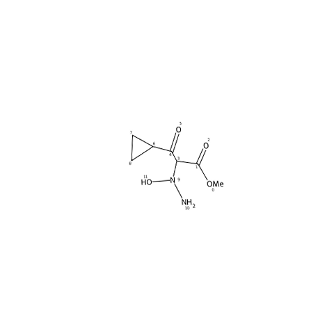 COC(=O)C(C(=O)C1CC1)N(N)O